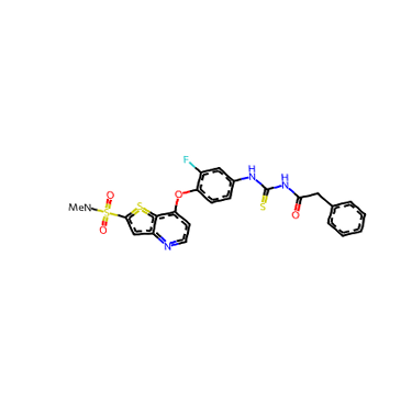 CNS(=O)(=O)c1cc2nccc(Oc3ccc(NC(=S)NC(=O)Cc4ccccc4)cc3F)c2s1